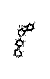 Fc1ccc2c3c([nH]c2c1)CCN(c1ccc(N2CCOCC2)nc1)C3